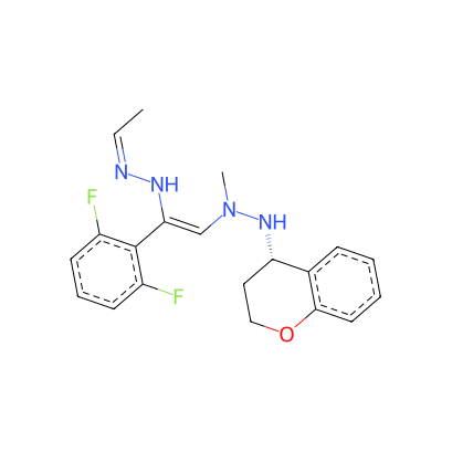 C/C=N\N/C(=C\N(C)N[C@H]1CCOc2ccccc21)c1c(F)cccc1F